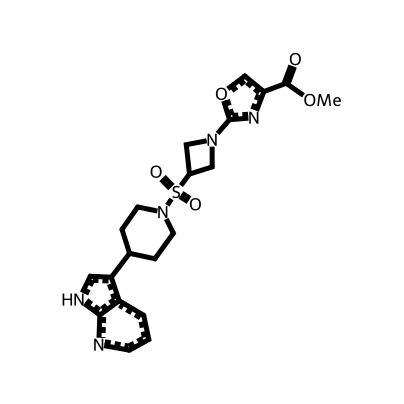 COC(=O)c1coc(N2CC(S(=O)(=O)N3CCC(c4c[nH]c5ncccc45)CC3)C2)n1